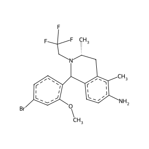 COc1cc(Br)ccc1C1c2ccc(N)c(C)c2C[C@@H](C)N1CC(F)(F)F